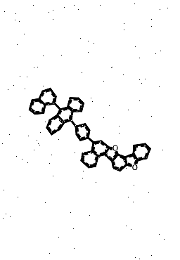 c1ccc2c(-c3c4ccccc4c(-c4ccc(-c5cc6oc7c(ccc8oc9ccccc9c87)c6c6ccccc56)cc4)c4ccccc34)cccc2c1